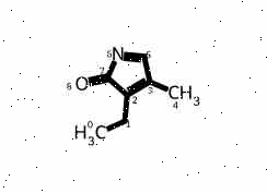 CCC1=C(C)C=NC1=O